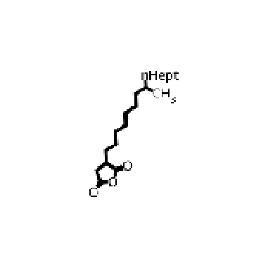 CCCCCCCC(C)CCCCCCCC1CC(=O)OC1=O